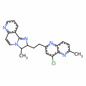 Cc1ccc2nc(CCC3N=C4c5cccnc5C=CN4C3C)cc(Cl)c2n1